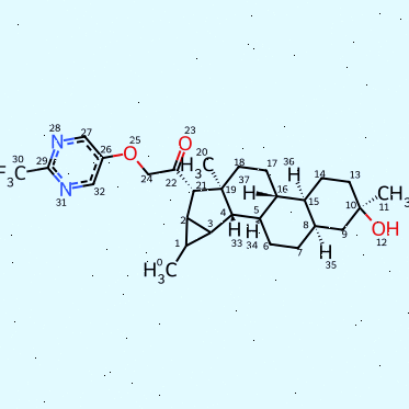 CC1C2C1[C@H]1[C@@H]3CC[C@@H]4C[C@](C)(O)CC[C@@H]4[C@H]3CC[C@]1(C)[C@H]2C(=O)COc1cnc(C(F)(F)F)nc1